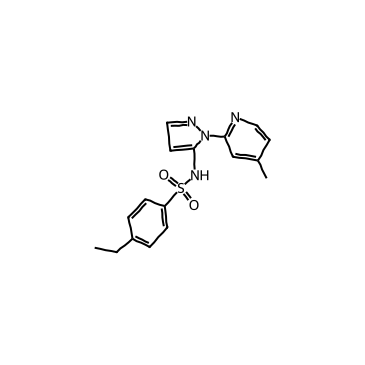 CCc1ccc(S(=O)(=O)Nc2ccnn2-c2cc(C)ccn2)cc1